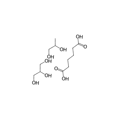 CC(O)CO.O=C(O)CCCCC(=O)O.OCC(O)CO